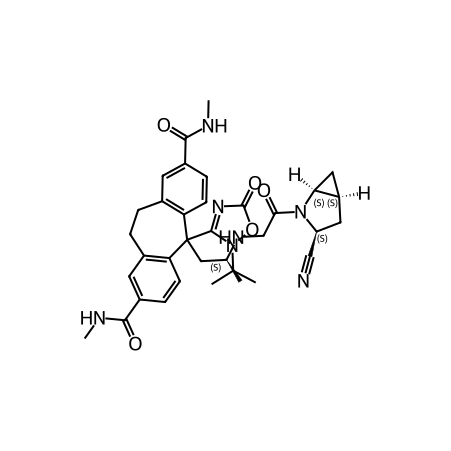 CNC(=O)c1ccc2c(c1)CCc1cc(C(=O)NC)ccc1C2(C[C@H](C)NCC(=O)N1[C@H](C#N)C[C@@H]2C[C@@H]21)c1nc(=O)on1C(C)C